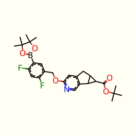 CC(C)(C)OC(=O)C1C2Cc3cc(OCc4cc(B5OC(C)(C)C(C)(C)O5)c(F)cc4F)ncc3C21